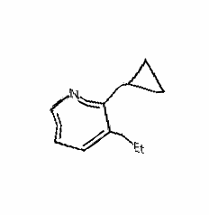 CCc1cccnc1[C]1CC1